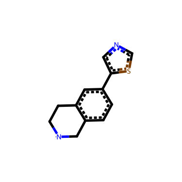 c1ncc(-c2ccc3c(c2)CC[N]C3)s1